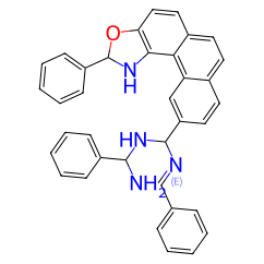 NC(NC(/N=C/c1ccccc1)c1ccc2ccc3ccc4c(c3c2c1)NC(c1ccccc1)O4)c1ccccc1